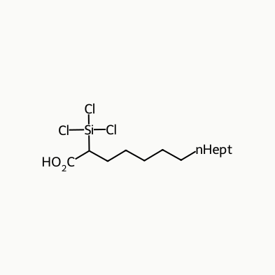 CCCCCCCCCCCCC(C(=O)O)[Si](Cl)(Cl)Cl